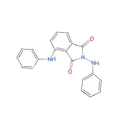 O=C1c2cccc(Nc3ccccc3)c2C(=O)N1Nc1ccccc1